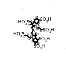 CC1(CS(=O)(=O)O)C(/C=C/C=C2/N(CCCS(=O)(=O)O)c3cc(S(=O)(=O)O)cc(S(=O)(=O)O)c3C2(C)C)=[N+](CCCS(=O)(=O)O)c2cc(C(=O)O)ccc21